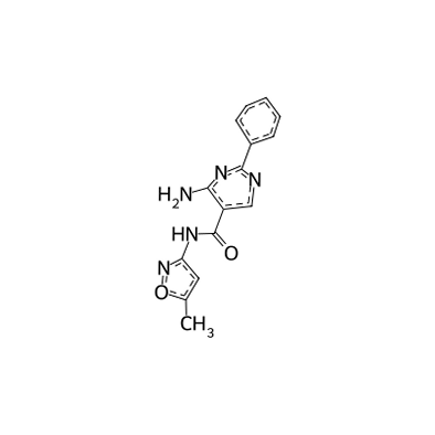 Cc1cc(NC(=O)c2cnc(-c3ccccc3)nc2N)no1